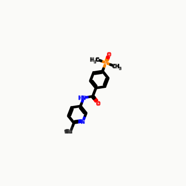 CC(C)(C)c1ccc(NC(=O)c2ccc(P(C)(C)=O)cc2)cn1